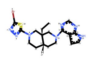 CC[C@]12CN(c3nnc(Br)s3)CC[C@H]1CCN(c1ncnc3[nH]ccc13)C2